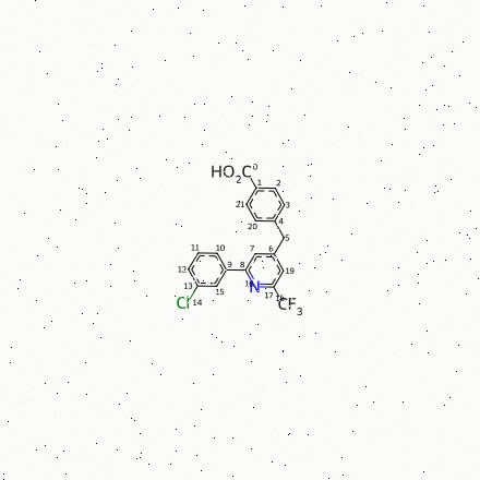 O=C(O)c1ccc(Cc2cc(-c3cccc(Cl)c3)nc(C(F)(F)F)c2)cc1